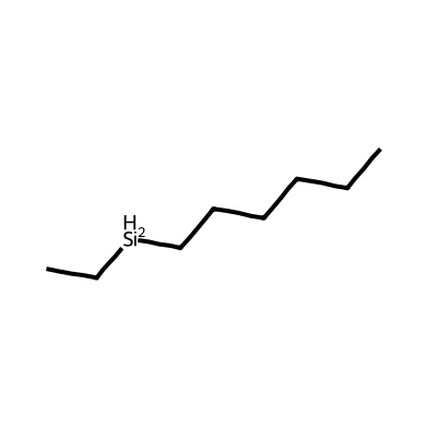 CCCCCC[SiH2]CC